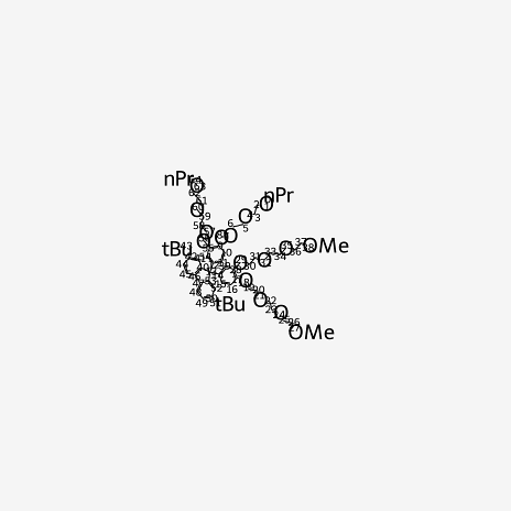 CCCOCCOCCOOc1ccc(C2(c3ccc(OCCOCCOCCOC)c(OCCOCCOCCOC)c3)c3cc(C(C)(C)C)ccc3-c3ccc(C(C)(C)C)cc32)cc1OOCCOCCOCCC